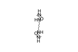 CC1(C)CC(C(=O)NCCCCCCCCNC(=O)C2CC(C)(C)NC2(C)C)C(C)(C)N1